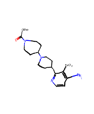 COC(=O)N1CCC(N2CCC(c3nccc(N)c3[N+](=O)[O-])CC2)CC1